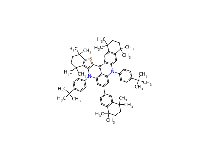 CC(C)(C)c1ccc(N2c3cc4c(cc3B3c5sc6c(c5N(c5ccc(C(C)(C)C)cc5)c5cc(-c7ccc8c(c7)C(C)(C)CCC8(C)C)cc2c53)C(C)(C)CCC6(C)C)C(C)(C)CCC4(C)C)cc1